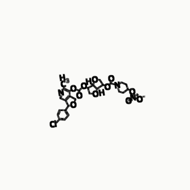 Cc1ncc2c(c1OC(=O)O[C@@H]1CO[C@H]3[C@H]1OC[C@H]3OC(=O)N1CCC(O[N+](=O)[O-])CC1)COC2c1ccc(Cl)cc1